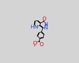 COC(=O)c1ccc(-c2nnc(=O)c3ccc[nH]c2-3)cc1